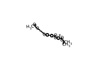 CC[C@@H](C)COC(=O)c1ccc(OC(=O)c2ccc(-c3ccc(OCCCCCCOCC4COC4C)cc3)cc2)cc1F